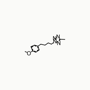 COc1ccc(CCCCn2nnc(C)n2)cc1